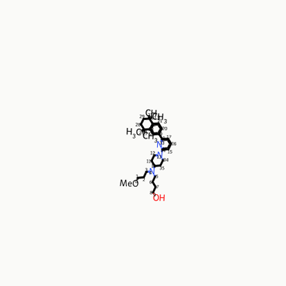 COCCCN(CCCCO)C1CCN(c2cccc(-c3ccc4c(c3)C(C)(C)CCC4(C)C)n2)CC1